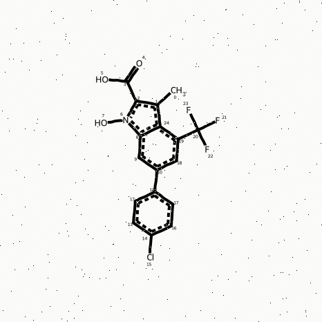 Cc1c(C(=O)O)n(O)c2cc(-c3ccc(Cl)cc3)cc(C(F)(F)F)c12